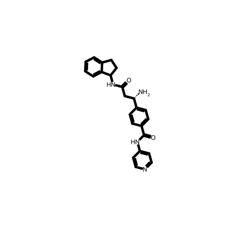 N[C@@H](CC(=O)NC1CCc2ccccc21)c1ccc(C(=O)Nc2ccncc2)cc1